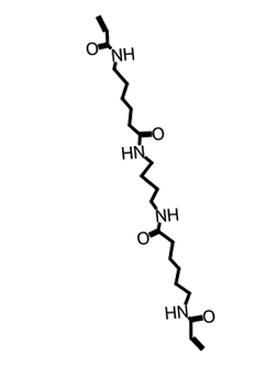 C=CC(=O)NCCCCCC(=O)NCCCCNC(=O)CCCCCNC(=O)C=C